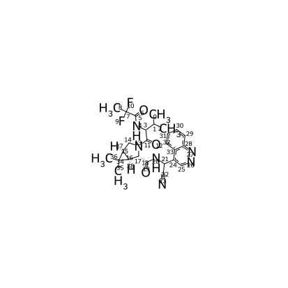 CC(C)C(NC(=O)C(C)(F)F)C(=O)N1C[C@H]2[C@@H]([C@H]1C(=O)NC(C#N)c1cnnc3ccccc13)C2(C)C